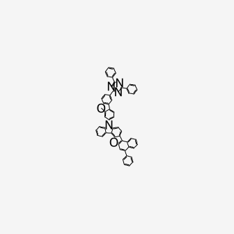 c1ccc(-c2nc(-c3ccccc3)nc(-c3ccc4oc5cc(-n6c7ccccc7c7c8oc9cc(-c%10ccccc%10)c%10ccccc%10c9c8ccc76)ccc5c4c3)n2)cc1